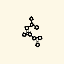 c1ccc(-c2cc(-c3cccc(-n4c5ccccc5c5cc(-c6ccc7c(c6)c6ccccc6n7-c6ccccc6)ccc54)c3)cc(-c3ccccc3)n2)cc1